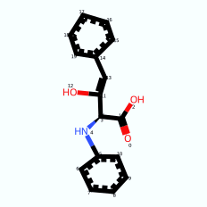 O=C(O)[C@@H](Nc1ccccc1)C(O)=Cc1ccccc1